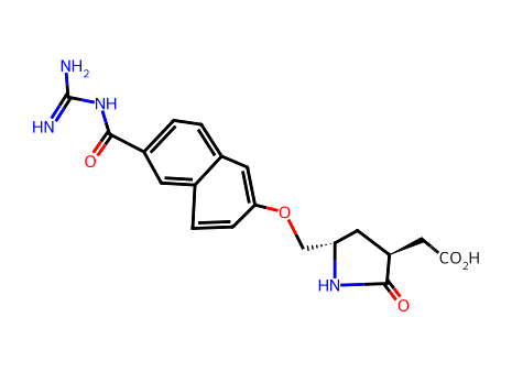 N=C(N)NC(=O)c1ccc2cc(OC[C@@H]3C[C@@H](CC(=O)O)C(=O)N3)ccc2c1